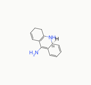 NC1=C2C=CC=C[C@@H]2NC2=C1C=CCC2